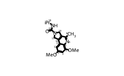 COc1cc(OC)c2nc(C)c3c(c2c1)CN(C(=O)NC(C)C)C3